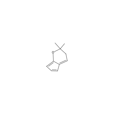 CC1(C)CC=C2C=CC=C2O1